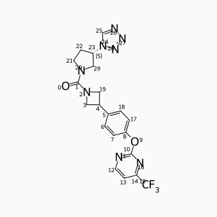 O=C(N1CC(c2ccc(Oc3nccc(C(F)(F)F)n3)cc2)C1)N1CC[C@H](n2cnnn2)C1